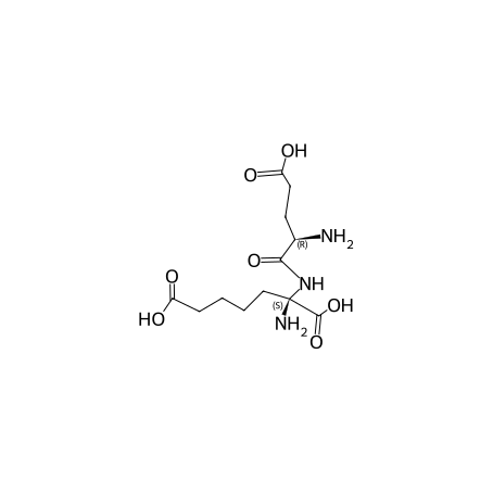 N[C@H](CCC(=O)O)C(=O)N[C@@](N)(CCCCC(=O)O)C(=O)O